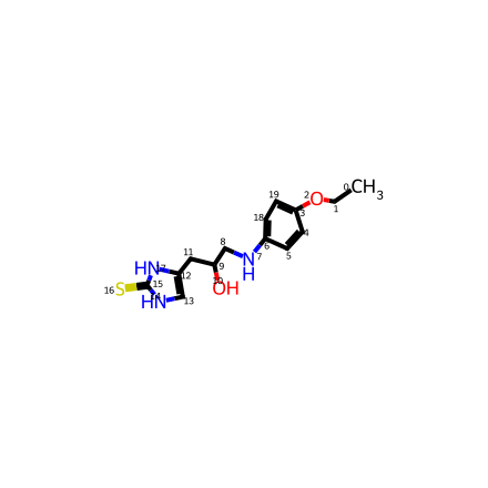 CCOc1ccc(NCC(O)Cc2c[nH]c(=S)[nH]2)cc1